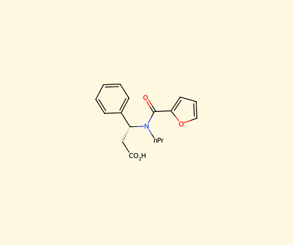 CCCN(C(=O)c1ccco1)[C@H](CC(=O)O)c1ccccc1